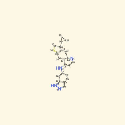 c1cc(Nc2ccc3cn[nH]c3c2)c2cc3scc(C4CC4)c3cc2n1